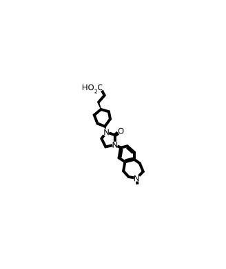 CN1CCc2ccc(N3CCN([C@H]4CC[C@H](CCC(=O)O)CC4)C3=O)cc2CC1